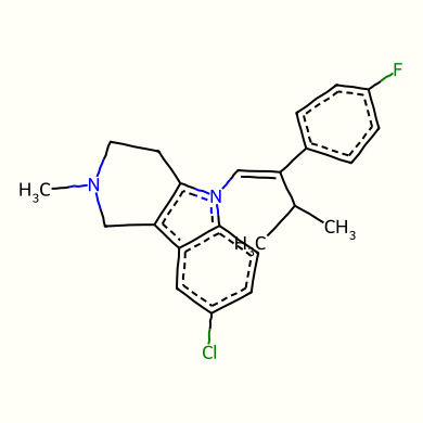 CC(C)/C(=C\n1c2c(c3cc(Cl)ccc31)CN(C)CC2)c1ccc(F)cc1